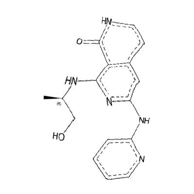 C[C@H](CO)Nc1nc(Nc2ccccn2)cc2cc[nH]c(=O)c12